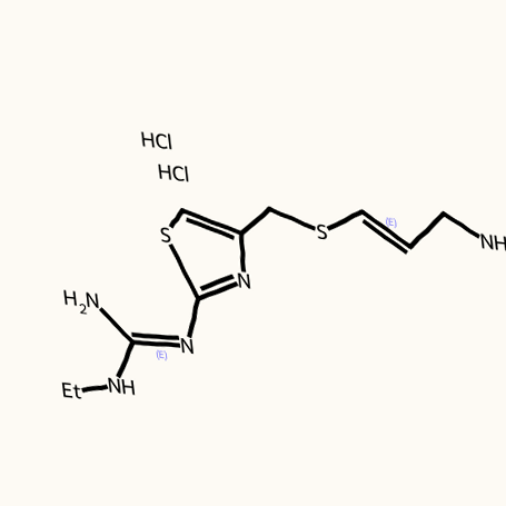 CCN/C(N)=N/c1nc(CS/C=C/CN)cs1.Cl.Cl